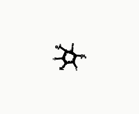 Cc1c(F)c(C#N)c(F)c([N+](=O)[O-])c1F